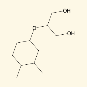 CC1CCC(OC(CO)CO)CC1C